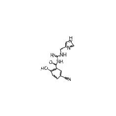 N#Cc1ccc(O)c(C(=O)NC(=N)NCc2c[nH]cn2)c1